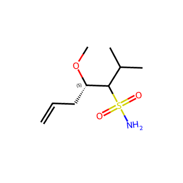 C=CC[C@H](OC)C(C(C)C)S(N)(=O)=O